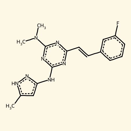 Cc1cc(Nc2nc(/C=C/c3cccc(F)c3)nc(N(C)C)n2)n[nH]1